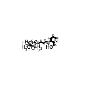 CC(C)(C)[Si](C)(C)OCCCCOc1cccnc1CO